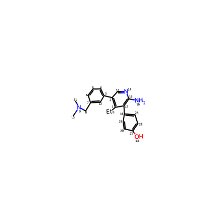 CCc1c(-c2cccc(CN(C)C)c2)cnc(N)c1-c1ccc(O)cc1